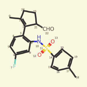 CC1=C(c2ccc(F)cc2NS(=O)(=O)c2ccc(C)cc2)C(C=O)CC1